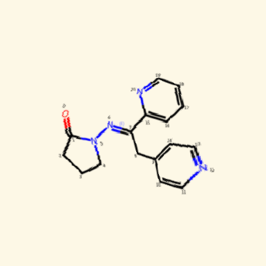 O=C1CCCN1/N=C(\Cc1ccncc1)c1ccccn1